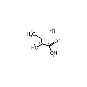 CCC(O)C(=O)O.[Ti]